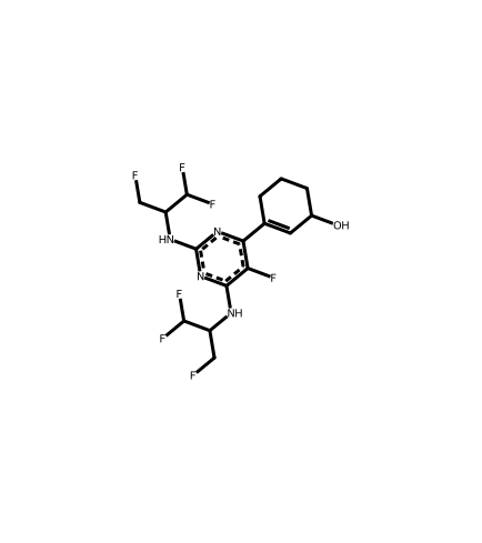 OC1C=C(c2nc(NC(CF)C(F)F)nc(NC(CF)C(F)F)c2F)CCC1